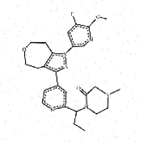 CCC(c1cc(-c2nn(-c3cnc(OC)c(F)c3)c3c2CCOCC3)ccn1)N1CCN(C)CC1=O